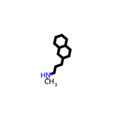 CNCCCC1CCC2CCCCC2C1